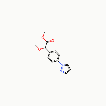 COC(=O)C(OC)c1ccc(-n2cccn2)cc1